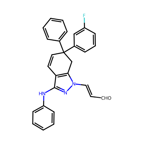 O=CC=Cn1nc(Nc2ccccc2)c2c1CC(c1ccccc1)(c1cccc(F)c1)C=C2